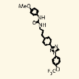 COc1ccc(NC(=O)NCCCc2ccc(-c3ncn(-c4ccc(OC(F)(F)F)cc4)n3)cc2)cc1